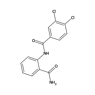 NC(=O)c1ccccc1NC(=O)c1ccc(Cl)c(Cl)c1